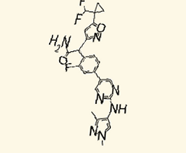 Cc1nn(C)cc1Nc1ncc(-c2ccc(C(C(N)=O)c3cc(C4(C(F)F)CC4)on3)c(F)c2)cn1